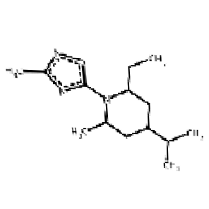 CCC1CC(C(C)C)CC(C)N1c1nc(C)ns1